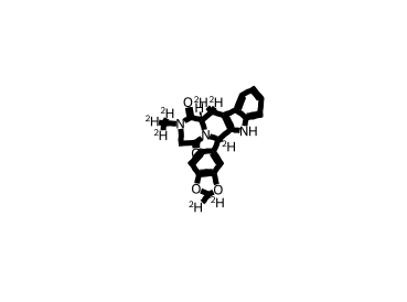 [2H]C1([2H])Oc2ccc([C@]3([2H])c4[nH]c5ccccc5c4C([2H])([2H])[C@@H]4C(=O)N(C([2H])([2H])[2H])CC(=O)N43)cc2O1